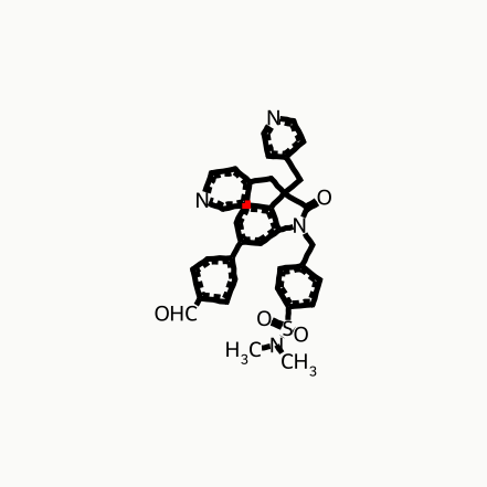 CN(C)S(=O)(=O)c1ccc(CN2C(=O)C(Cc3ccncc3)(Cc3ccncc3)c3ccc(-c4ccc(C=O)cc4)cc32)cc1